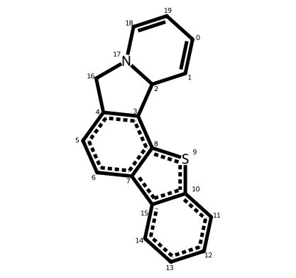 C1=CC2c3c(ccc4c3sc3ccccc34)CN2C=C1